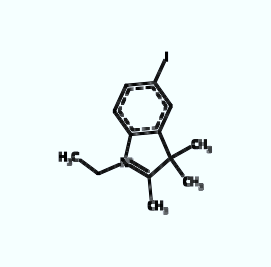 CC[N+]1=C(C)C(C)(C)c2cc(I)ccc21